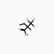 CCC(C)(C(=O)O)C(F)(F)F